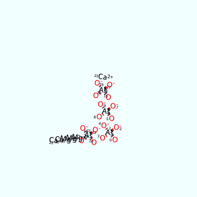 O=[As]([O-])([O-])[O-].O=[As]([O-])([O-])[O-].O=[As]([O-])([O-])[O-].O=[As]([O-])([O-])[O-].[Ca+2].[Ca+2].[Ca+2].[Mg+2].[Mg+2].[Mg+2]